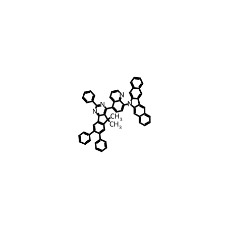 CC1(C)c2cc(-c3ccccc3)c(-c3ccccc3)cc2-c2nc(-c3ccccc3)nc(-c3ccc(-n4c5cc6ccccc6cc5c5cc6ccccc6cc54)c4ncccc34)c21